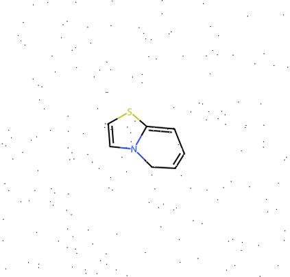 [C]1=CN2CC=CC=C2S1